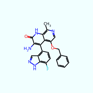 Cc1ncc(OCc2ccccc2)c2c(-c3ccc(F)c4[nH]ncc34)c(N)c(=O)[nH]c12